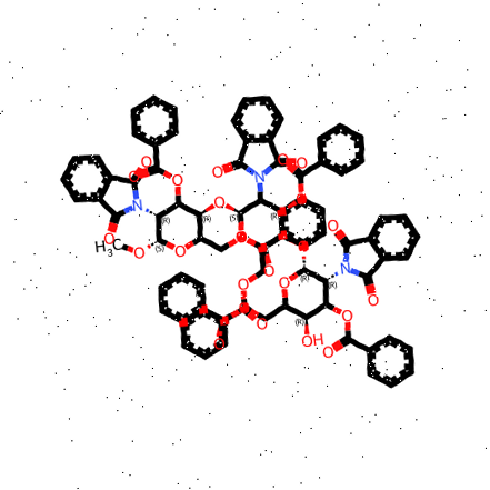 CO[C@H]1OC(COC(=O)c2ccccc2)[C@H](O[C@@H]2OC(COC(=O)c3ccccc3)C(O[C@H]3OC(COC(=O)c4ccccc4)[C@H](O)C(OC(=O)c4ccccc4)[C@H]3N3C(=O)c4ccccc4C3=O)[C@H](OC(=O)c3ccccc3)C2N2C(=O)c3ccccc3C2=O)C(OC(=O)c2ccccc2)[C@H]1N1C(=O)c2ccccc2C1=O